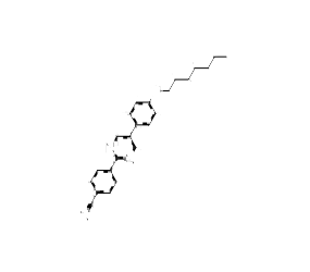 CCCCCCCOc1ccc(-c2cnc(-c3ccc(C#N)cc3)nc2)cc1